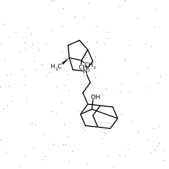 CC1(C)C2CC[C@@]1(C)CN(CCC1C3CC4CC(C3)C(O)C1C4)C2